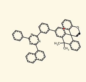 CC1(C)c2ccccc2C2(c3ccccc3Oc3ccccc32)c2ccc(-c3cccc(-c4nc(-c5ccccc5)nc(-c5cccc6ccccc56)n4)c3)cc21